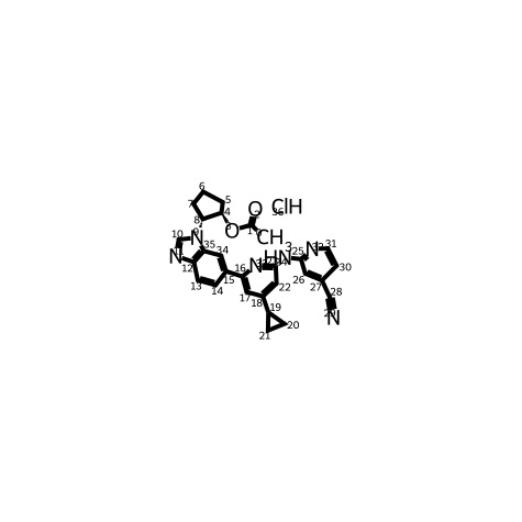 CC(=O)O[C@@H]1CCC[C@H]1n1cnc2ccc(-c3cc(C4CC4)cc(Nc4cc(C#N)ccn4)n3)cc21.Cl